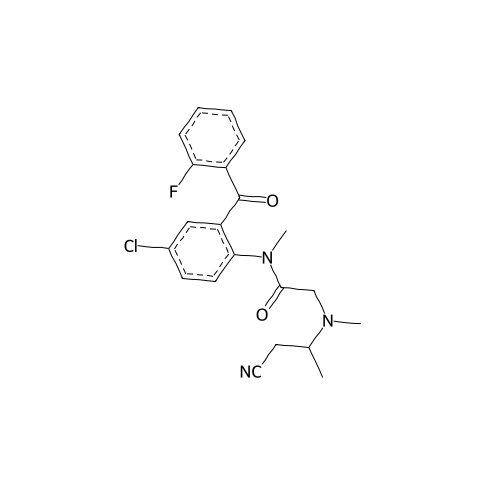 CC(CC#N)N(C)CC(=O)N(C)c1ccc(Cl)cc1C(=O)c1ccccc1F